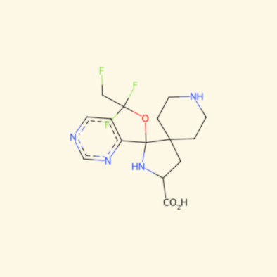 O=C(O)C1CC2(CCNCC2)C(OC(F)(F)CF)(c2ccncn2)N1